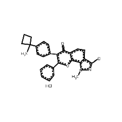 Cl.Cn1nc(Cl)c2ccc3c(=O)c(-c4ccc(C5(N)CCC5)cc4)c(-c4ccccc4)oc3c21